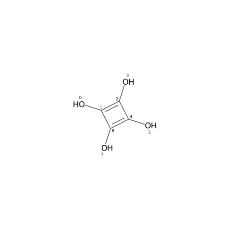 OC1=C(O)C(O)=C1O